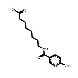 O=C(O)CCCCCCCNC(=O)c1ccc(O)nc1